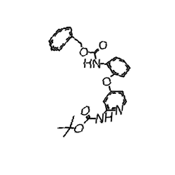 CC(C)(C)OC(=O)Nc1cc(Oc2ccccc2NC(=O)OCc2ccccc2)ccn1